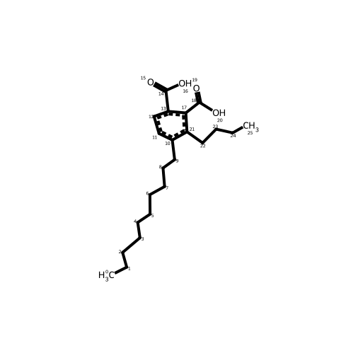 CCCCCCCCCCc1ccc(C(=O)O)c(C(=O)O)c1CCCC